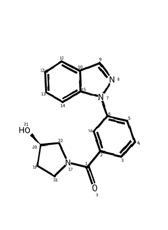 O=C(c1cccc(-n2ncc3c[c]ccc32)c1)N1CC[C@@H](O)C1